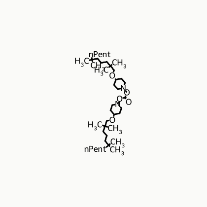 CCCCCC(C)(C)CCCC(C)(C)COC1CCN(OC(=O)ON2CCC(OCC(C)(C)CCCC(C)(C)CCCCC)CC2)CC1